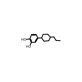 CCCC1CCC(c2ccc(O)c(O)c2)CC1